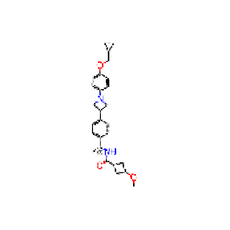 COC1CC(C(=O)N[C@@H](C)c2ccc(C3CN(c4ccc(OCC5CC5)cc4)C3)cc2)C1